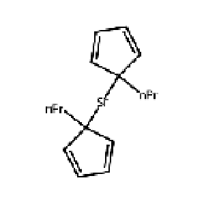 CCC[C]1([Sr][C]2(CCC)C=CC=C2)C=CC=C1